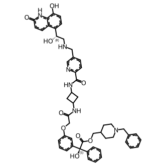 O=C(COc1cccc([C@](O)(C(=O)OCC2CCN(Cc3ccccc3)CC2)c2ccccc2)c1)NC1CC(NC(=O)c2ccc(CNC[C@H](O)c3ccc(O)c4[nH]c(=O)ccc34)cn2)C1